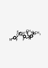 COCCn1c(Cc2cc(F)c(-c3ncc(F)c(OCc4ccc(C#N)cc4F)n3)cc2F)nc2ccc(C(=O)OC)cc21